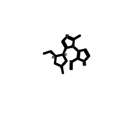 C=Nc1[nH]ccc1-n1c([C@H]2CN(C)C[C@H]2CC)cnc1C